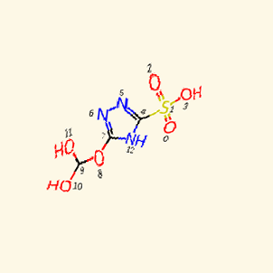 O=S(=O)(O)c1nnc(OC(O)O)[nH]1